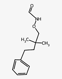 CC(C)(CCc1ccccc1)CONC=O